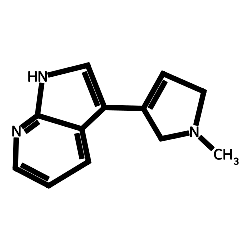 CN1CC=C(c2c[nH]c3ncccc23)C1